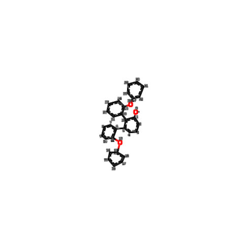 [O]c1cccc(-c2ccccc2Oc2ccccc2)c1-c1ccccc1Oc1ccccc1